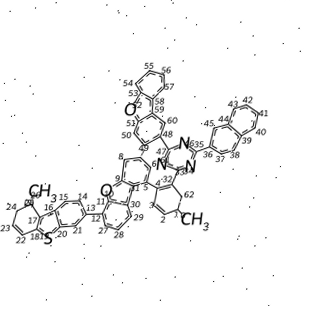 CC1C=CC(c2cccc3oc4c(-c5ccc6c7c(sc6c5)C=CC[C@@H]7C)cccc4c23)=C(c2nc(-c3ccc4ccccc4c3)nc(-c3ccc4oc5ccccc5c4c3)n2)C1